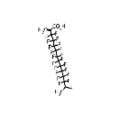 C=C(C(=O)O)C(F)(F)C(F)(F)C(F)(F)C(F)(F)C(F)(F)C(F)(F)C(F)(F)C(F)(F)C(F)(F)C(F)(F)C(C)F